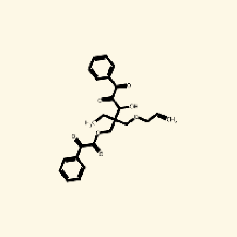 C=CCOCC(CC)(COC(=O)C(=O)c1ccccc1)C(O)C(=O)C(=O)c1ccccc1